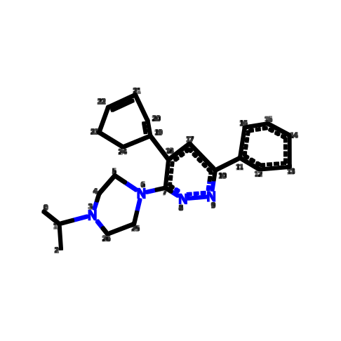 CC(C)N1CCN(c2nnc(-c3ccccc3)cc2C2=CC=CCC2)CC1